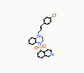 O=S(=O)(c1cccc2cnccc12)N1CCN(C/C=C/c2ccc(Cl)cc2)c2ccccc21